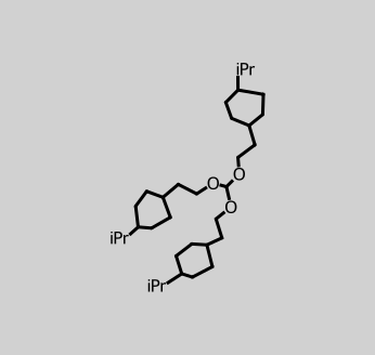 CC(C)C1CCC(CCOC(OCCC2CCC(C(C)C)CC2)OCCC2CCC(C(C)C)CC2)CC1